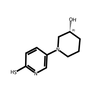 O[C@@H]1CCCN(c2ccc(S)nc2)C1